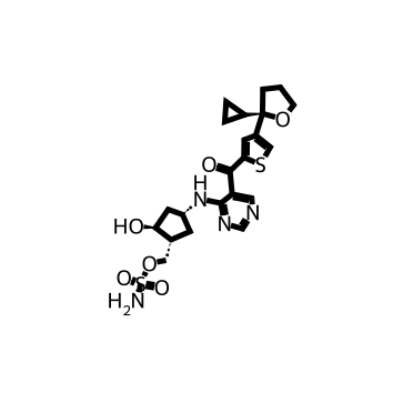 NS(=O)(=O)OC[C@H]1C[C@@H](Nc2ncncc2C(=O)c2cc([C@]3(C4CC4)CCCO3)cs2)C[C@@H]1O